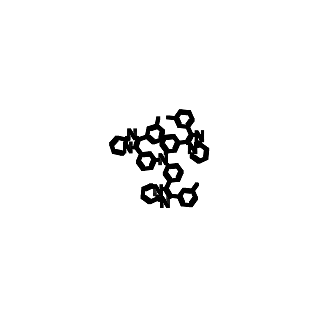 Cc1cccc(-c2nc3ccccn3c2-c2cccc(N(c3cccc(-c4c(-c5cccc(C)c5)nc5ccccn45)c3)c3cccc(-c4c(-c5cccc(C)c5)nc5ccccn45)c3)c2)c1